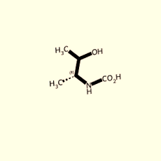 CC(O)[C@@H](C)NC(=O)O